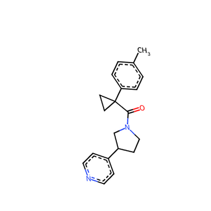 Cc1ccc(C2(C(=O)N3CCC(c4ccncc4)C3)CC2)cc1